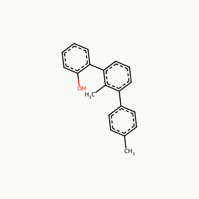 Cc1ccc(-c2cccc(-c3ccccc3O)c2C)cc1